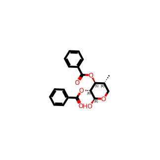 C[C@@H]1CO[C@@H](O)[C@H](OC(=O)c2ccccc2)[C@H]1OC(=O)c1ccccc1